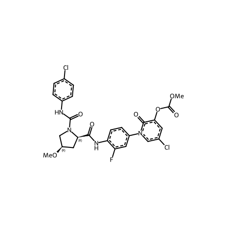 COC(=O)Oc1cc(Cl)cn(-c2ccc(NC(=O)[C@H]3C[C@@H](OC)CN3C(=O)Nc3ccc(Cl)cc3)c(F)c2)c1=O